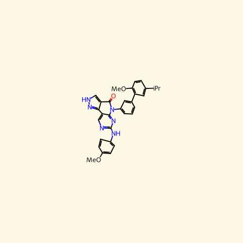 COc1ccc(Nc2ncc3c4n[nH]cc4c(=O)n(-c4cccc(-c5cc(C(C)C)ccc5OC)c4)c3n2)cc1